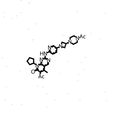 CC(=O)c1c(C)c2cnc(Nc3ccc(N4CC(N5CCN(C(C)=O)CC5)C4)cn3)nc2n(C2CCCC2)c1=O